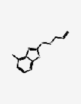 C=CCSSc1nc2c(C)cccc2s1